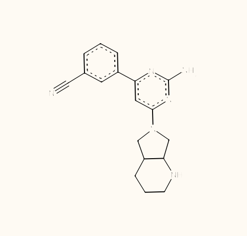 N#Cc1cccc(-c2cc(N3CC4CCCNC4C3)nc(N)n2)c1